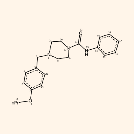 CCCOc1ccc(CN2CCN(C(=O)Nc3ccccc3)CC2)cc1